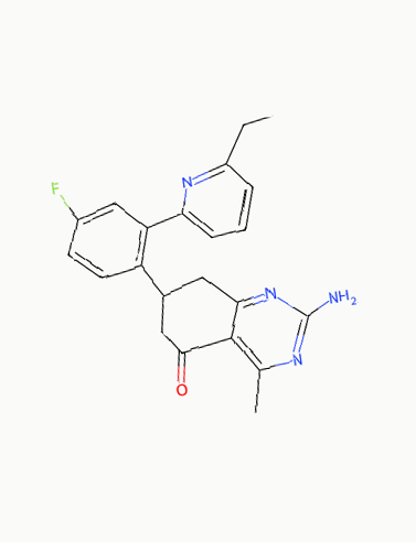 CCc1cccc(-c2cc(F)ccc2C2CC(=O)c3c(C)nc(N)nc3C2)n1